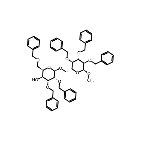 CO[C@H]1O[C@H](CO[C@@H]2O[C@H](COCc3ccccc3)[C@H](O)[C@H](OCc3ccccc3)[C@H]2OCc2ccccc2)[C@@H](OCc2ccccc2)[C@H](OCc2ccccc2)[C@H]1OCc1ccccc1